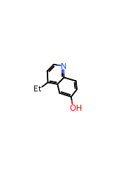 CCc1ccnc2ccc(O)cc12